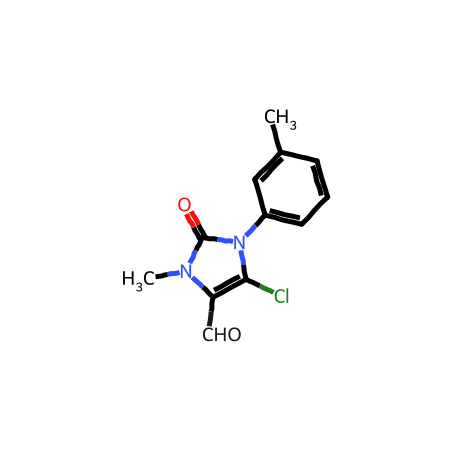 Cc1cccc(-n2c(Cl)c(C=O)n(C)c2=O)c1